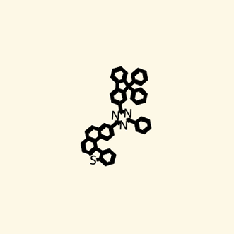 c1ccc(-c2nc(-c3ccc4c(c3)C(c3ccccc3)(c3ccccc3)c3ccccc3-4)nc(-c3ccc4c(ccc5ccc6sc7ccccc7c6c54)c3)n2)cc1